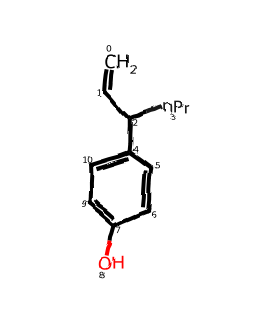 C=CC(CCC)c1ccc(O)cc1